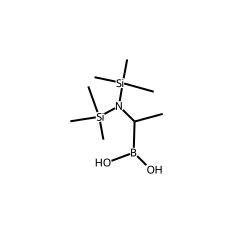 CC(B(O)O)N([Si](C)(C)C)[Si](C)(C)C